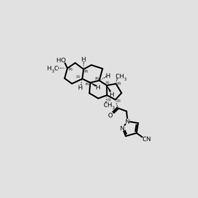 C[C@@H]1C[C@H](C(=O)Cn2cc(C#N)cn2)[C@@]2(C)CC[C@H]3[C@@H](CC[C@@H]4C[C@](C)(O)CC[C@@H]43)[C@H]12